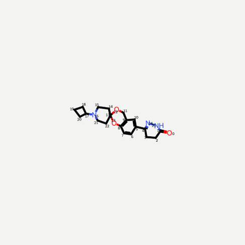 O=C1CCC(c2ccc3c(c2)COC2(CCN(C4CCC4)CC2)O3)=NN1